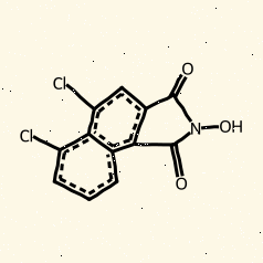 O=C1c2cc(Cl)c3c(Cl)cccc3c2C(=O)N1O